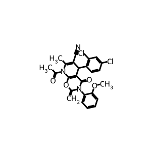 C=C1OC2=C(C(=O)N1c1ccccc1OC)C(c1ccc(Cl)cc1Cl)C(C#N)=C(C)N2C(C)=O